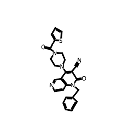 N#Cc1c(N2CCN(C(=O)c3cccs3)CC2)c2cnccc2n(Cc2ccccc2)c1=O